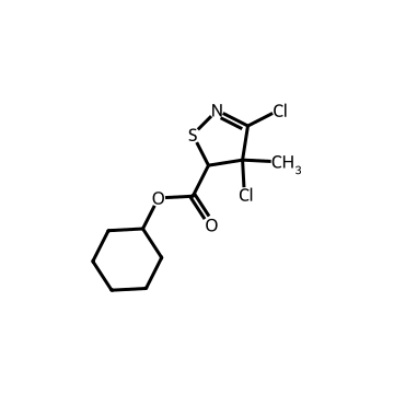 CC1(Cl)C(Cl)=NSC1C(=O)OC1CCCCC1